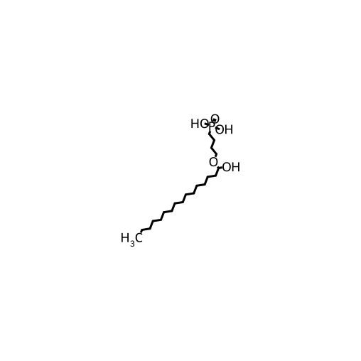 CCCCCCCCCCCCCCCC(O)OCCCCP(=O)(O)O